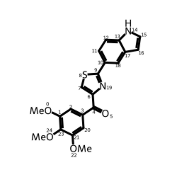 COc1cc(C(=O)c2csc(-c3ccc4[nH]ccc4c3)n2)cc(OC)c1OC